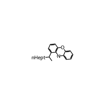 CCCCCCCC(C)c1cccc2c1[N]c1ccccc1O2